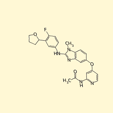 CC(=O)Nc1cc(Oc2ccc3c(c2)nc(Nc2ccc(F)c(C4CCCO4)c2)n3C)ccn1